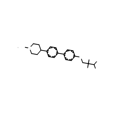 CCCCC[SiH]1CCC(c2ccc(-c3ccc(OCC(F)(F)C(F)F)cc3)cc2)CC1